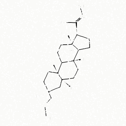 COC[C@@]1(O)CC[C@H]2[C@H](CC[C@@H]3[C@@H]2CC[C@]2(C)[C@@H](/C(C)=N/N)CC[C@@H]32)C1